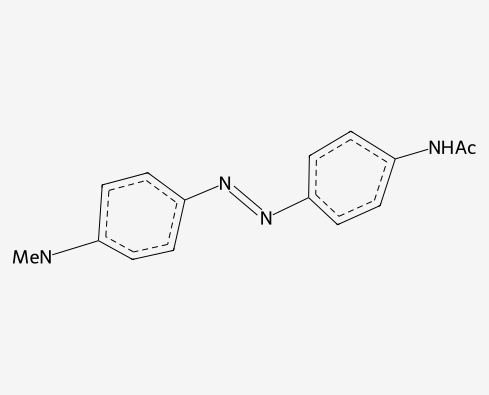 CNc1ccc(N=Nc2ccc(NC(C)=O)cc2)cc1